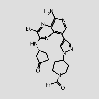 CCc1nc2c(N)ncc(-c3cnn(C4CCN(C(=O)C(C)C)CC4)c3)c2nc1N[C@@H]1CCC(=O)C1